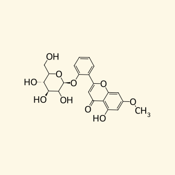 COc1cc(O)c2c(=O)cc(-c3ccccc3O[C@@H]3OC(CO)[C@@H](O)[C@H](O)C3O)oc2c1